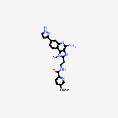 COc1ccc(C(=O)NCCc2nc3c(N)nc4cc(-c5cc[nH]n5)ccc4c3n2C(C)C)nc1